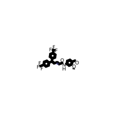 COc1cc(NC(=O)/C=C/C=C(c2ccc(C(F)(F)F)cc2)c2ccc(C(F)(F)F)cc2)ccc1C=O